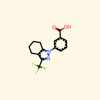 O=C(O)c1cccc(-n2nc(C(F)(F)F)c3c2CCCC3)c1